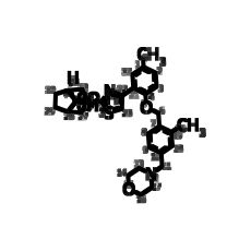 Cc1ccc(OCc2ccc(CN3CCOCC3)cc2C)c(-c2csc(N3CC4CC[C@@H](C3)[C@@]4(C)C(=O)O)n2)c1